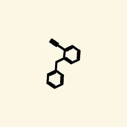 C#Cc1ccccc1Cc1ccccc1